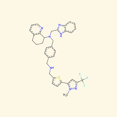 Cn1nc(C(F)(F)F)cc1-c1ccc(CNCc2ccc(CN(Cc3nc4ccccc4[nH]3)C3CCCc4cccnc43)cc2)s1